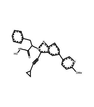 COc1ccc(-c2ccc3nn(C(Cc4ccccc4)C(=O)NO)c(C#CC4CC4)c3c2)cn1